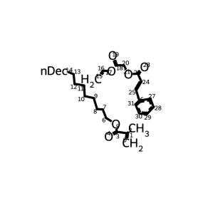 C=C(C)C(=O)OCCCCCCCCCCCCCCCCCC.C=COC(=O)COC(=O)C=Cc1ccccc1